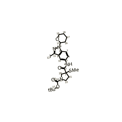 CSC1(C(=O)Nc2ccc3c(c2)c(I)nn3C2CCCCO2)CCN(C(=O)OC(C)(C)C)C1